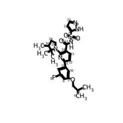 CC(C)COc1cc(F)cc(-c2ccc(C(=O)NS(=O)(=O)c3ccn[nH]3)c(N3CCC(C)C3(C)C)n2)c1